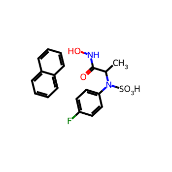 CC(C(=O)NO)N(c1ccc(F)cc1)S(=O)(=O)O.c1ccc2ccccc2c1